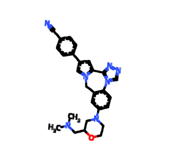 CN(C)CC1CN(c2ccc3c(c2)Cn2cc(-c4ccc(C#N)cc4)cc2-c2nncn2-3)CCO1